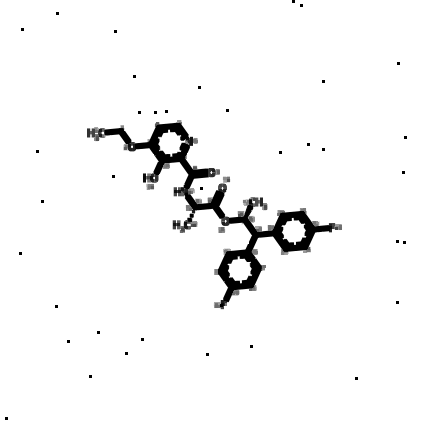 CCOc1ccnc(C(=O)N[C@@H](C)C(=O)O[C@@H](C)C(c2ccc(F)cc2)c2ccc(F)cc2)c1O